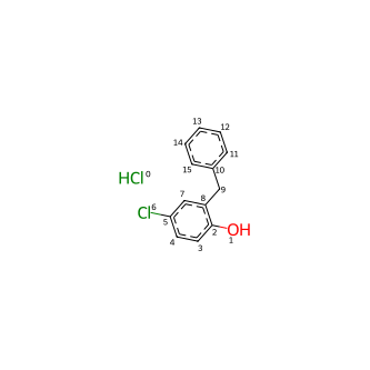 Cl.Oc1ccc(Cl)cc1Cc1ccccc1